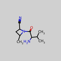 CC(C)C(N)C(=O)N1C(C)CC1C#N